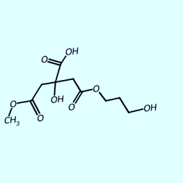 COC(=O)CC(O)(CC(=O)OCCCO)C(=O)O